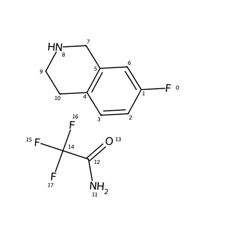 Fc1ccc2c(c1)CNCC2.NC(=O)C(F)(F)F